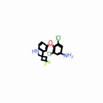 Nc1cc(Cl)c(Oc2ccc3c(c2)C2(CN3)CC(F)(F)C2)c(Cl)c1